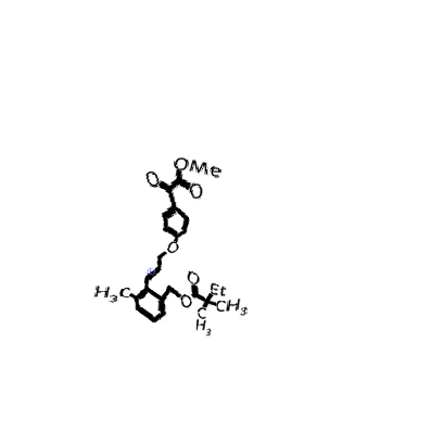 CCC(C)(C)C(=O)OCc1cccc(C)c1/C=C/COc1ccc(C(=O)C(=O)OC)cc1